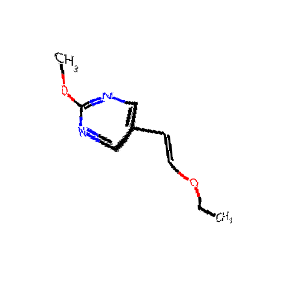 CCO/C=C/c1cnc(OC)nc1